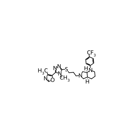 Cc1ncoc1-c1nnc(SCCCN2C[C@@H]3CCCN(c4ccc(C(F)(F)F)cc4)[C@@H]3C2)n1C